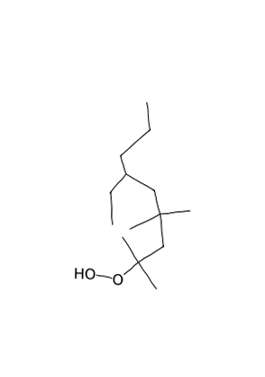 CCCC(CC)CC(C)(C)CC(C)(C)OO